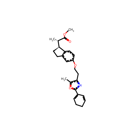 COC(=O)[C@@H](C)[C@@H]1CCc2cc(OCCc3nc(C4=CCCC=C4)oc3C)ccc21